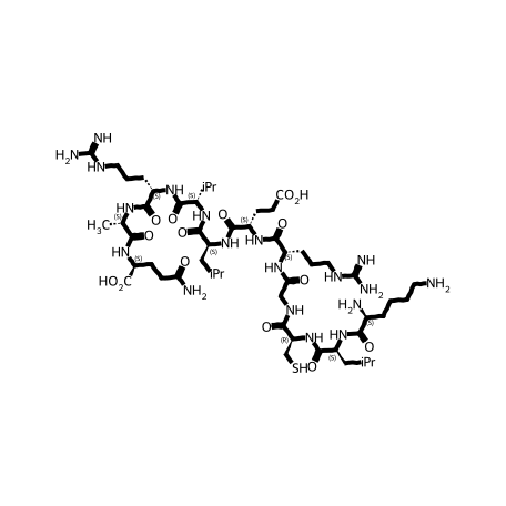 CC(C)C[C@H](NC(=O)[C@H](CCC(=O)O)NC(=O)[C@H](CCCNC(=N)N)NC(=O)CNC(=O)[C@H](CS)NC(=O)[C@H](CC(C)C)NC(=O)[C@@H](N)CCCCN)C(=O)N[C@H](C(=O)N[C@@H](CCCNC(=N)N)C(=O)N[C@@H](C)C(=O)N[C@@H](CCC(N)=O)C(=O)O)C(C)C